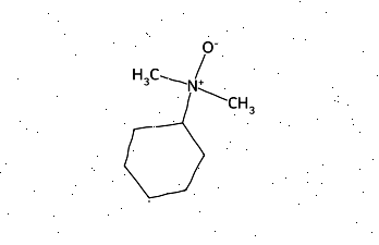 C[N+](C)([O-])C1CC[CH]CC1